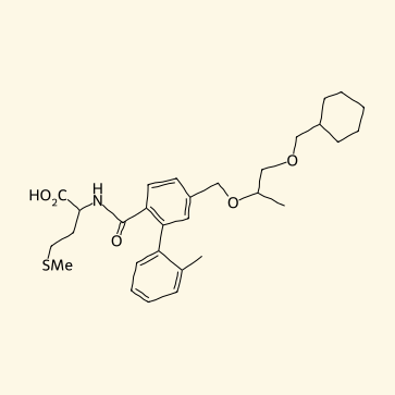 CSCCC(NC(=O)c1ccc(COC(C)COCC2CCCCC2)cc1-c1ccccc1C)C(=O)O